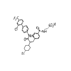 CCC1CCC(C(Cc2ccc(C(=O)NCCS(=O)(=O)O)cc2)C(=O)Nc2ccc(-c3ccc(C(F)(F)F)cc3Cl)cc2)CC1